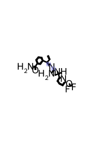 C=C/C(=C\N=C(/N)NC(C)(C)c1cccc(OC(F)F)n1)c1cccc(C(N)=O)c1